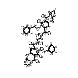 O=C(NCCNC(=O)c1ccc(C(=O)N2CCSC2=S)c(=O)n1OCc1ccccc1)c1ccc(C(=O)N2CCSC2=S)c(=O)n1OCc1ccccc1